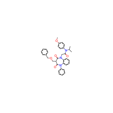 COc1ccc(N(C(=O)CN2C(=O)C(COCc3ccccc3)C(=O)N(c3ccccc3)c3ccccc32)C(C)C)cc1